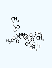 CCCCC(=O)OCC[C@@](N)(Cc1ccc(OC(=O)C(C)C)c(OC(=O)C(C)C)c1)C(=O)OC